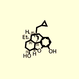 CC[C@@]12CC[C@H](O)[C@@H]3Oc4c(O)ccc5c4[C@@]31CCN(CC1CC1)[C@@H]2C5